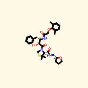 Cc1cccc(C)c1OCC(=O)N[C@@H](Cc1ccccc1)[C@H](O)C(=O)N1CSC(C)(C)[C@H]1C(=O)NC[C@H]1CCCO1